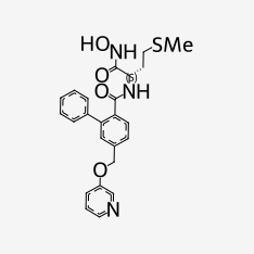 CSCC[C@H](NC(=O)c1ccc(COc2cccnc2)cc1-c1ccccc1)C(=O)NO